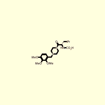 COc1ccc(CN2CCN(C(=O)[C@H](CC(C)C)NC(=O)O)CC2)c(OC)c1OC